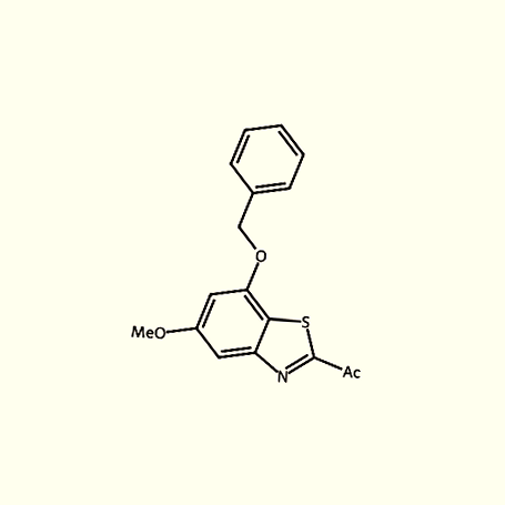 COc1cc(OCc2ccccc2)c2sc(C(C)=O)nc2c1